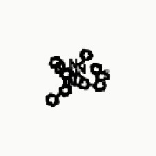 c1ccc(-c2ccc3c(c2)c2cc(-c4ccccc4)ccc2n3-c2ccc(-c3cccc4sc5ccccc5c34)cc2-c2nc(-c3ccccc3)nc(-c3ccccc3)n2)cc1